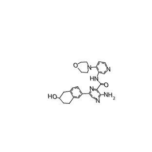 Nc1ncc(-c2ccc3c(c2)CCC(O)C3)nc1C(=O)Nc1cnccc1N1CCOCC1